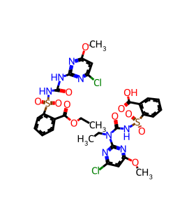 CCN(C(=O)NS(=O)(=O)c1ccccc1C(=O)O)c1nc(Cl)cc(OC)n1.CCOC(=O)c1ccccc1S(=O)(=O)NC(=O)Nc1nc(Cl)cc(OC)n1